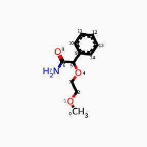 COCCOC(C(N)=O)c1ccccc1